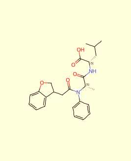 CC(C)C[C@H](NC(=O)[C@H](C)N(C(=O)CC1COc2ccccc21)c1ccccc1)C(=O)O